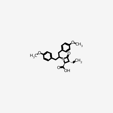 C=C[C@H]1C(=O)N(C(Cc2ccc(OC)cc2)Cc2ccc(OC)cc2)[C@@H]1C(=O)O